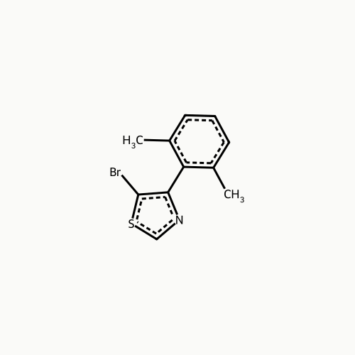 Cc1cccc(C)c1-c1ncsc1Br